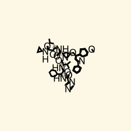 CCC[C@H](NC(=O)[C@@H]1C[C@@H](Oc2cc(-c3ccccc3)nc3cc(OC)ccc23)CN1C(=O)[C@@H](NC(=O)[C@@H](NC(=O)c1cnccn1)C1CCCCC1)C(C)C)C(=O)C(=O)NC1CC1